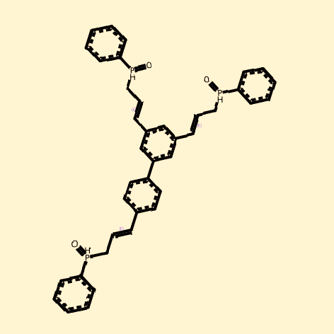 O=[PH](C/C=C/c1ccc(-c2cc(/C=C/C[PH](=O)c3ccccc3)cc(/C=C/C[PH](=O)c3ccccc3)c2)cc1)c1ccccc1